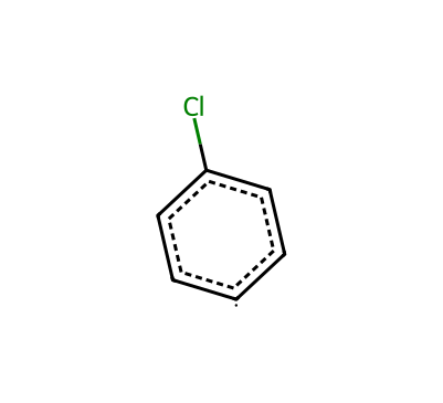 Clc1cc[c]cc1